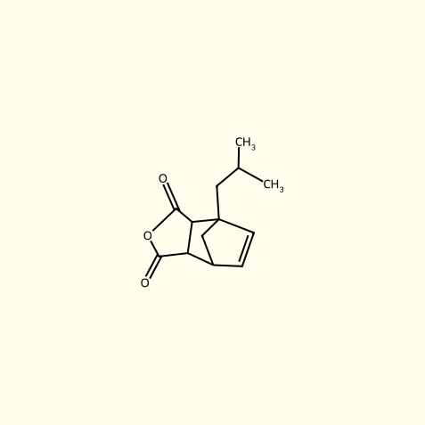 CC(C)CC12C=CC(C1)C1C(=O)OC(=O)C12